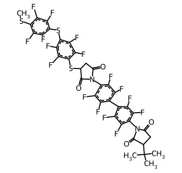 CSc1c(F)c(F)c(Sc2c(F)c(F)c(SC3CC(=O)N(c4c(F)c(F)c(-c5c(F)c(F)c(N6C(=O)CC(C(C)(C)C)C6=O)c(F)c5F)c(F)c4F)C3=O)c(F)c2F)c(F)c1F